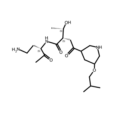 CC(=O)[C@H](CCN)NC(=O)[C@@H](CC(=O)C1CNCC(OCC(C)C)C1)[C@H](C)O